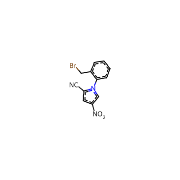 N#Cc1cc([N+](=O)[O-])cn1-c1ccccc1CBr